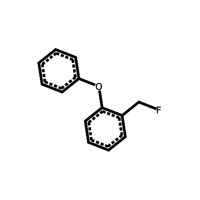 FCc1ccccc1Oc1ccccc1